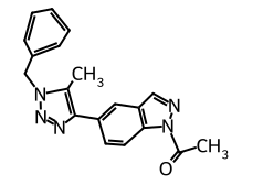 CC(=O)n1ncc2cc(-c3nnn(Cc4ccccc4)c3C)ccc21